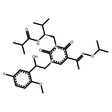 COc1ccc(F)cc1C(O)Cn1cc(/C(C)=N/OC(C)C)c(=O)n(C[C@@H](NC(=O)C(C)C)C(C)C)c1=O